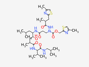 Cc1csc(COC(=O)N(CCC(=O)NC(CC(C)C)C(O)CC(C)C(=O)NC(C(=O)NCC(C)C)C(C)C)NC(=O)C(C)Cc2nc(C)cs2)n1